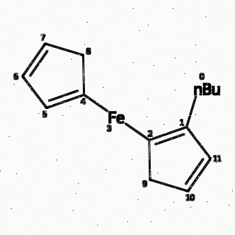 CCCCC1=[C]([Fe][C]2=CC=CC2)CC=C1